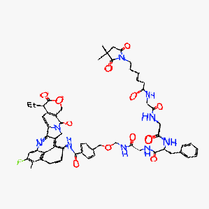 CC[C@H]1C(=O)OCc2c1cc1n(c2=O)Cc2c-1nc1cc(F)c(C)c3c1c2[C@@H](NC(=O)c1ccc(COCNC(=O)CNC(=O)[C@H](Cc2ccccc2)NC(=O)CNC(=O)CNC(=O)CCCCCN2C(=O)CC(C)(C)C2=O)cc1)CC3